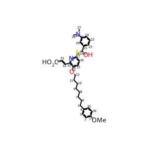 COc1ccc(CCCCCCCCOc2ccc(SC(O)c3cccc(N(C)C)c3)nc2C=CC(=O)O)cc1